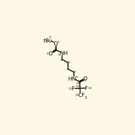 CC(C)(C)OC(=O)NCCCCNC(=O)C(F)(F)C(F)(F)F